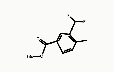 Cc1ccc(C(=O)OC(C)(C)C)cc1C(F)F